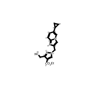 CCOC(=O)c1cn(Cc2cn3cc(C4CC4)ccc3n2)nc1CC#N